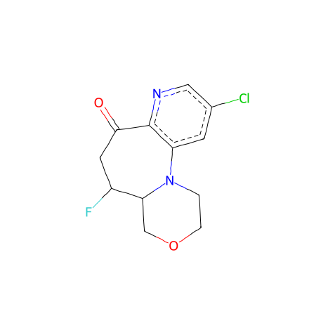 O=C1CC(F)C2COCCN2c2cc(Cl)cnc21